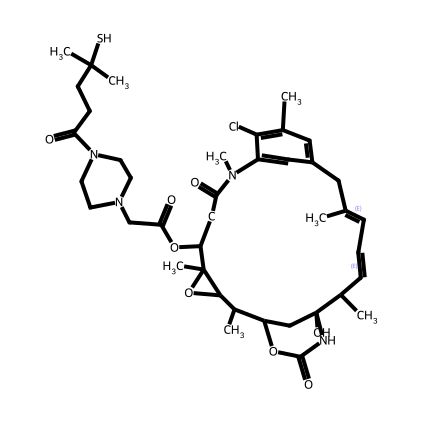 C/C1=C\C=C\C(C)C2(O)CC(OC(=O)N2)C(C)C2OC2(C)C(OC(=O)CN2CCN(C(=O)CCC(C)(C)S)CC2)CC(=O)N(C)c2cc(cc(C)c2Cl)C1